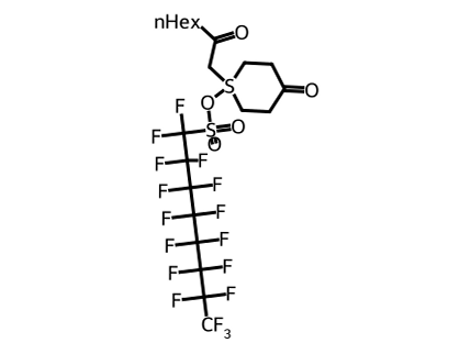 CCCCCCC(=O)CS1(OS(=O)(=O)C(F)(F)C(F)(F)C(F)(F)C(F)(F)C(F)(F)C(F)(F)C(F)(F)C(F)(F)F)CCC(=O)CC1